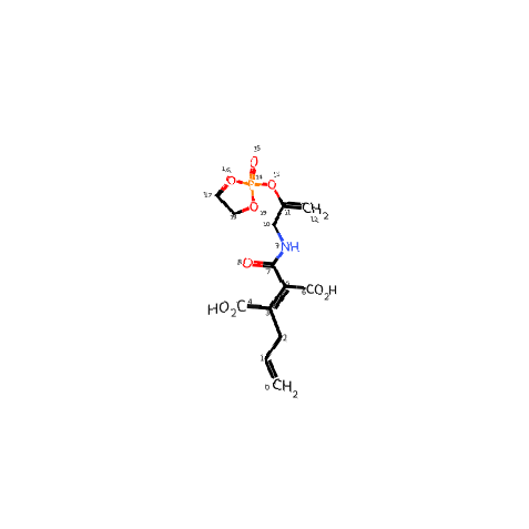 C=CC/C(C(=O)O)=C(\C(=O)O)C(=O)NCC(=C)OP1(=O)OCCO1